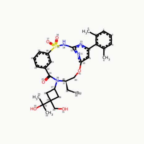 Cc1cccc(C)c1-c1cc2nc(n1)NS(=O)(=O)c1cccc(c1)C(=O)N(C1CC(CO)(C(C)(C)O)C1)[C@H](CC(C)(C)C)CO2